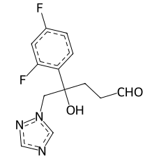 O=CCCC(O)(Cn1cncn1)c1ccc(F)cc1F